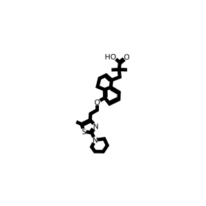 Cc1sc(N2CCCCC2)nc1CCOc1cccc2c1CCC=C2CC(C)(C)C(=O)O